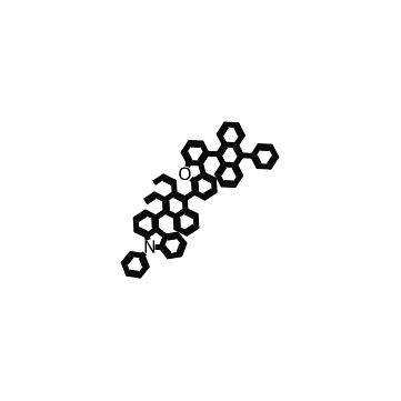 C=Cc1c(/C=C\C)c(-c2cccc3c2oc2cccc(-c4c5ccccc5c(-c5ccccc5)c5ccccc45)c23)c2ccccc2c1-c1cccc2c1c1ccccc1n2-c1ccccc1